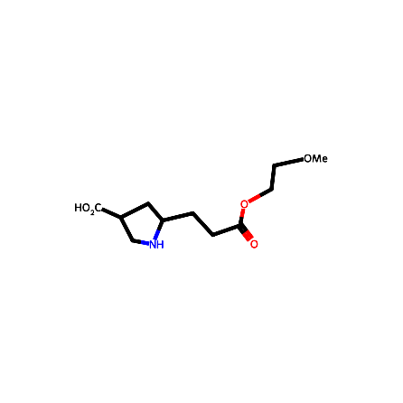 COCCOC(=O)CCC1CC(C(=O)O)CN1